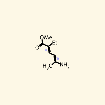 CC/C(=C\C=C(/C)N)C(=O)OC